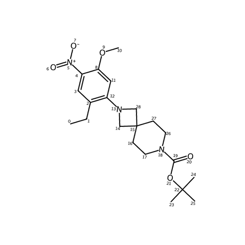 CCc1cc([N+](=O)[O-])c(OC)cc1N1CC2(CCN(C(=O)OC(C)(C)C)CC2)C1